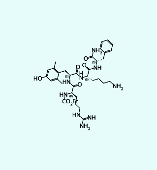 CCOC(=O)N[C@H](CCCNC(=N)N)C(=O)N[C@@H](Cc1c(C)cc(O)cc1C)C(=O)N[C@@H](CCCCN)C(=O)N[C@@H](Cc1ccccc1)C(N)=O